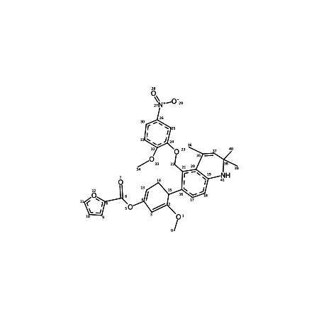 COC1=CC(OC(=O)c2ccco2)=CCC1c1ccc2c(c1COc1cc([N+](=O)[O-])ccc1OC)C(C)=CC(C)(C)N2